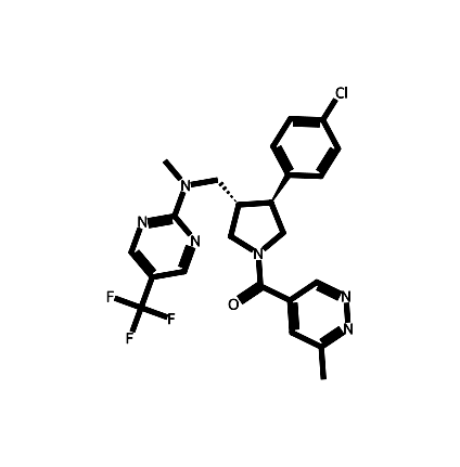 Cc1cc(C(=O)N2C[C@H](CN(C)c3ncc(C(F)(F)F)cn3)[C@@H](c3ccc(Cl)cc3)C2)cnn1